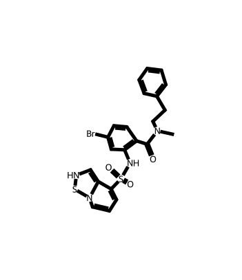 CN(CCc1ccccc1)C(=O)c1ccc(Br)cc1NS(=O)(=O)C1=CC=CN2SNC=C12